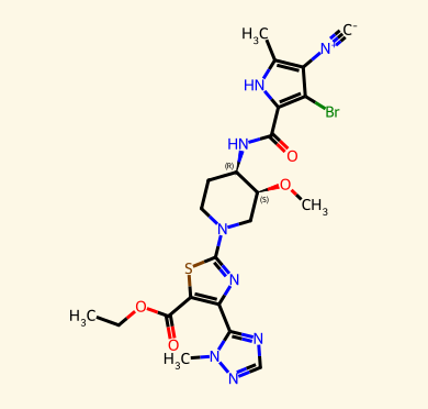 [C-]#[N+]c1c(C)[nH]c(C(=O)N[C@@H]2CCN(c3nc(-c4ncnn4C)c(C(=O)OCC)s3)C[C@@H]2OC)c1Br